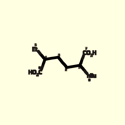 CCCCC(CCC(CC)C(=O)O)C(=O)O